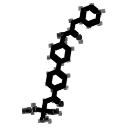 CC(C)(CC(=O)c1ccc(-c2ccc(NC(=O)Cc3ccncc3)cc2)cc1)C(=O)O